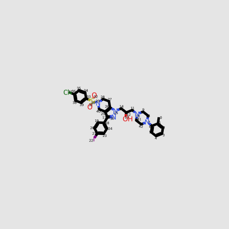 Cc1ccccc1N1CCN(CC(O)Cn2nc(-c3ccc(I)cc3)c3c2CCN(S(=O)(=O)c2ccc(Cl)cc2)C3)CC1